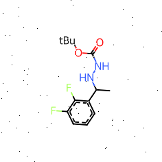 CC(NNC(=O)OC(C)(C)C)c1cccc(F)c1F